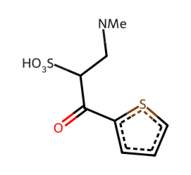 CNCC(C(=O)c1cccs1)S(=O)(=O)O